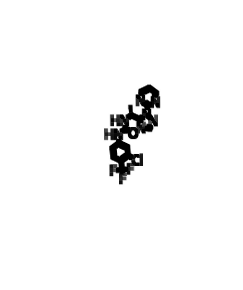 C[C@H](NC(=O)Nc1ccc(C(F)(F)F)c(Cl)c1)c1ncnn1-c1ncccn1